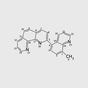 Cc1ccc(-c2ccc3ccc4cccnc4c3n2)c2cccnc12